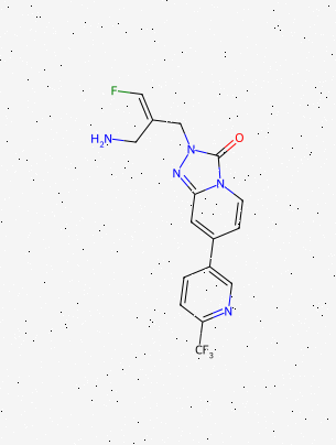 NC/C(=C\F)Cn1nc2cc(-c3ccc(C(F)(F)F)nc3)ccn2c1=O